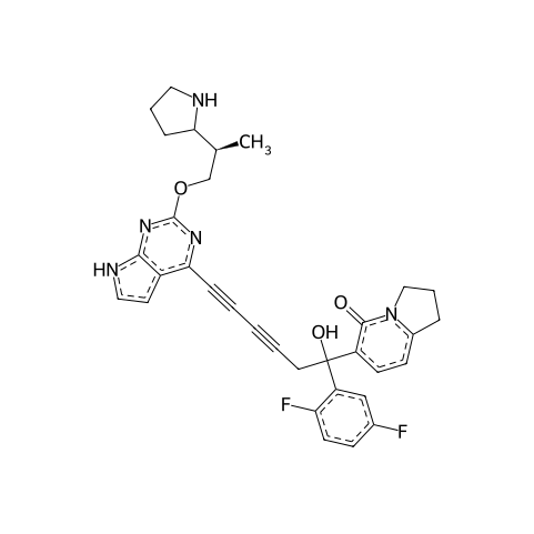 C[C@@H](COc1nc(C#CC#CCC(O)(c2cc(F)ccc2F)c2ccc3n(c2=O)CCC3)c2cc[nH]c2n1)C1CCCN1